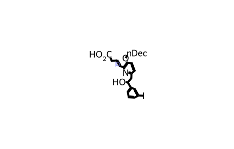 CCCCCCCCCCOc1ccc(CC(O)c2cccc(I)c2)nc1/C=C/CC(=O)O